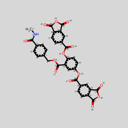 CNC(=O)c1ccc(COC(=O)c2cc(OC(=O)c3ccc4c(c3)C(=O)OC4=O)ccc2OC(=O)c2ccc3c(c2)C(=O)OC3=O)cc1